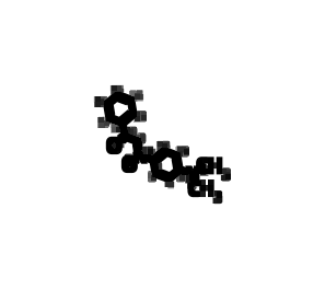 CN(C)c1ccc([N+]([O-])=CC(=O)c2ccccc2)cc1